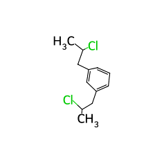 CC(Cl)Cc1cccc(CC(C)Cl)c1